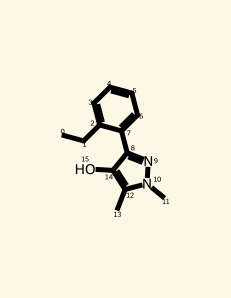 CCc1ccccc1-c1nn(C)c(C)c1O